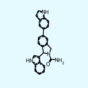 NC(=O)N1Cc2cc(-c3ccc4[nH]ccc4c3)ccc2C1c1c[nH]c2ccccc12